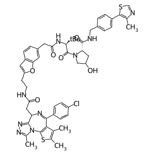 Cc1ncsc1-c1ccc(CNC(=O)[C@@H]2CC(O)CN2C(=O)[C@@H](NC(=O)Cc2ccc3cc(CCNC(=O)CC4N=C(c5ccc(Cl)cc5)c5c(sc(C)c5C)-n5c(C)nnc54)oc3c2)C(C)(C)C)cc1